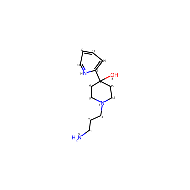 NCCCN1CCC(O)(c2ccccn2)CC1